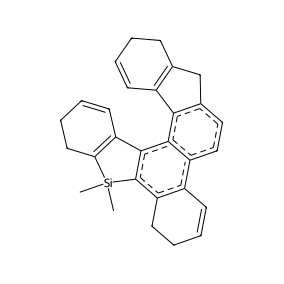 C[Si]1(C)C2=C(C=CCC2)c2c1c1c(c3ccc4c(c23)C2=C(CCC=C2)C4)C=CCC1